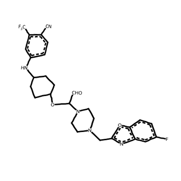 N#Cc1ccc(NC2CCC(OC(C=O)N3CCN(Cc4nc5cc(F)ccc5o4)CC3)CC2)cc1C(F)(F)F